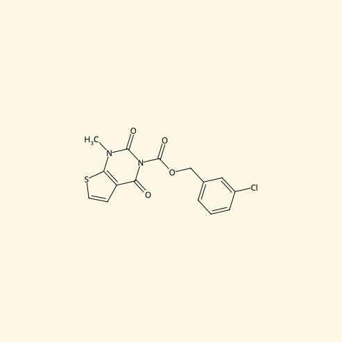 Cn1c(=O)n(C(=O)OCc2cccc(Cl)c2)c(=O)c2ccsc21